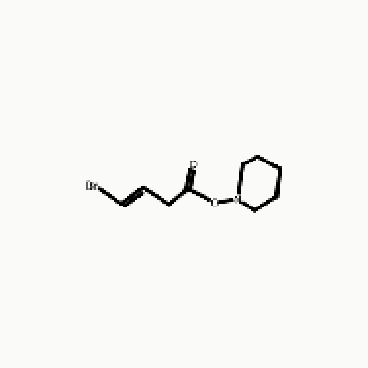 O=C(C/C=C/Br)ON1CCCCC1